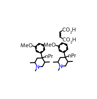 CCCC1(c2cccc(OC)c2)CC(C)N(C)CC1C.CCCC1(c2cccc(OC)c2)CC(C)N(C)CC1C.O=C(O)/C=C\C(=O)O